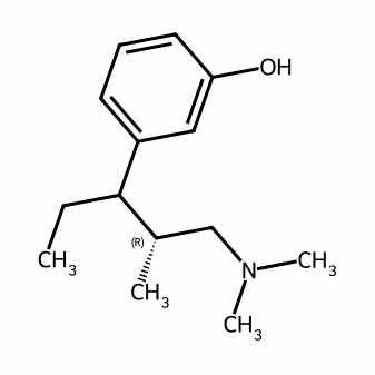 CCC(c1cccc(O)c1)[C@@H](C)CN(C)C